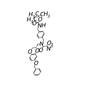 CC(C)(C)OC(=O)NCc1ccc(CN(C[C@@H]2COc3ccc(OCc4ccccc4)cc3O2)C(=O)c2ncco2)cc1